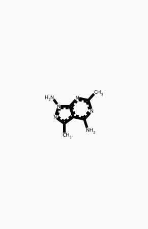 Cc1nc(N)c2c(C)nn(N)c2n1